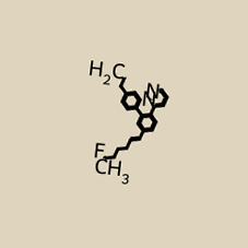 C=CCc1ccc(-c2cc(C=CCCCC(C)F)ccc2-c2cccnn2)cc1